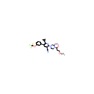 COCCC(=O)N1CCN(c2nc(C3CC3)c(-c3cccc(OC(F)(F)F)c3)cc2C#N)C[C@H]1C